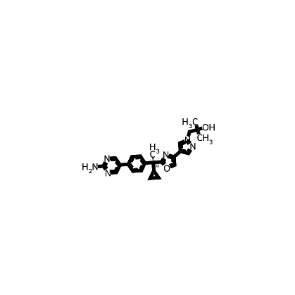 CC(C)(O)Cn1cc(-c2coc([C@](C)(c3ccc(-c4cnc(N)nc4)cc3)C3CC3)n2)cn1